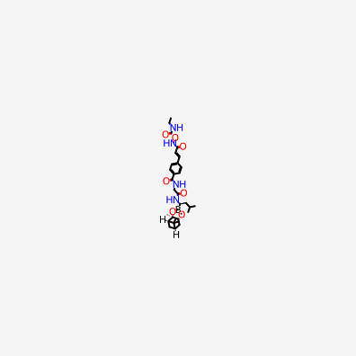 CCNC(=O)ONC(=O)/C=C/c1ccc(C(=O)NCC(=O)N[C@@H](CC(C)C)B2OC3C[C@H]4C[C@H](C4(C)C)[C@@]3(C)O2)cc1